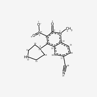 Cn1c(=O)c([N+](=O)[O-])c(N2CCNCC2)c2nc(C#N)ccc21